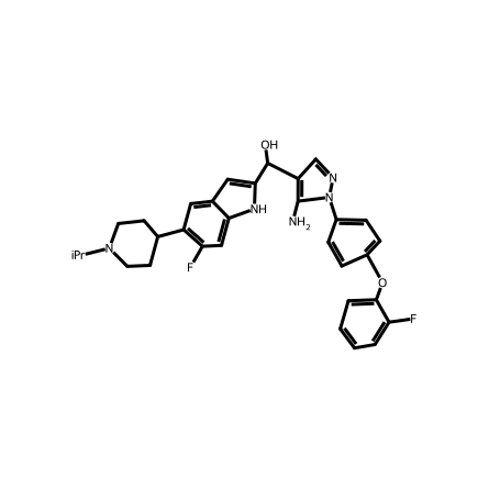 CC(C)N1CCC(c2cc3cc(C(O)c4cnn(-c5ccc(Oc6ccccc6F)cc5)c4N)[nH]c3cc2F)CC1